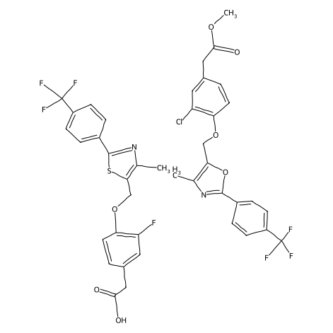 COC(=O)Cc1ccc(OCc2oc(-c3ccc(C(F)(F)F)cc3)nc2C)c(Cl)c1.Cc1nc(-c2ccc(C(F)(F)F)cc2)sc1COc1ccc(CC(=O)O)cc1F